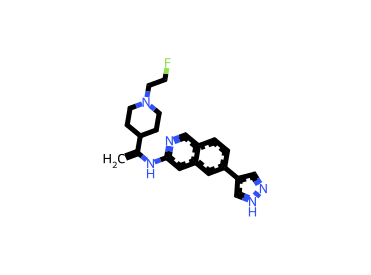 C=C(Nc1cc2cc(-c3cn[nH]c3)ccc2cn1)C1CCN(CCF)CC1